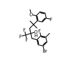 COc1ccc(F)cc1C(C)(C)CC(O)(Cc1cc(Br)cc(C)c1F)C(F)(F)F